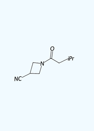 CC(C)CC(=O)N1CC(C#N)C1